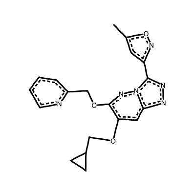 Cc1cc(-c2nnc3cc(OCC4CC4)c(OCc4ccccn4)nn23)no1